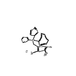 Brc1sc(C[P+](c2ccccc2)(c2ccccc2)c2ccccc2)c(Br)c1Br.[Cl-]